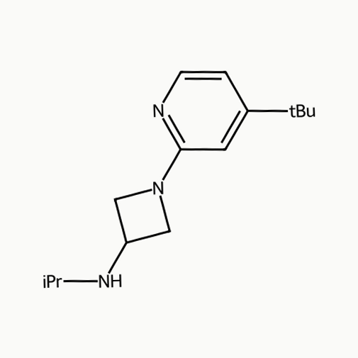 CC(C)NC1CN(c2cc(C(C)(C)C)ccn2)C1